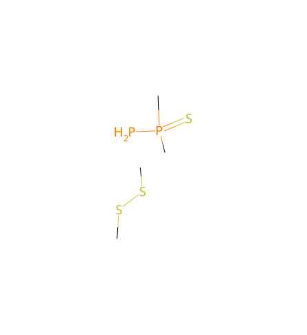 CP(C)(P)=S.CSSC